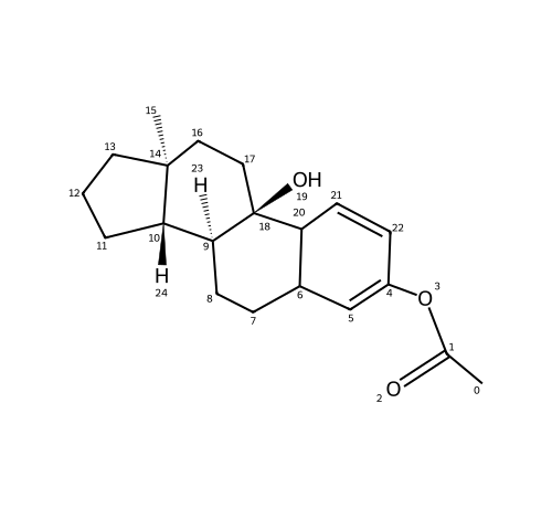 CC(=O)OC1=CC2CC[C@H]3[C@@H]4CCC[C@@]4(C)CC[C@]3(O)C2C=C1